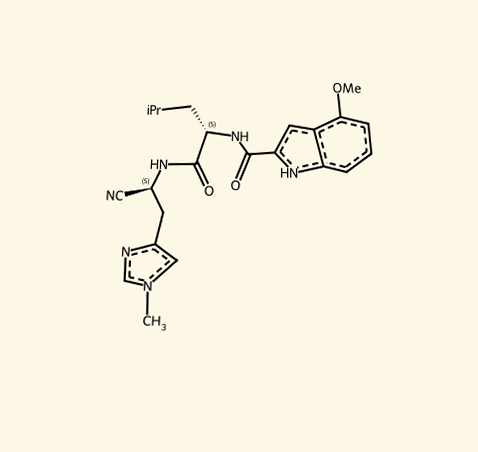 COc1cccc2[nH]c(C(=O)N[C@@H](CC(C)C)C(=O)N[C@H](C#N)Cc3cn(C)cn3)cc12